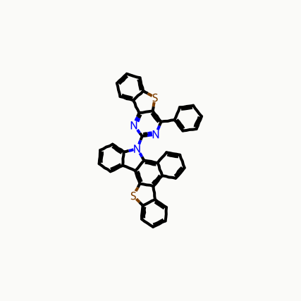 c1ccc(-c2nc(-n3c4ccccc4c4c5sc6ccccc6c5c5ccccc5c43)nc3c2sc2ccccc23)cc1